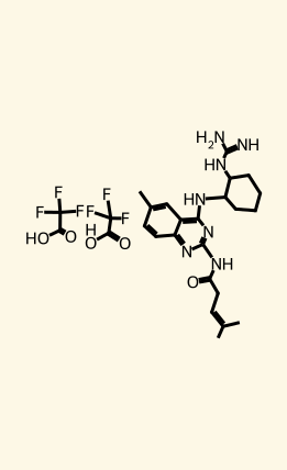 CC(C)=CCC(=O)Nc1nc(NC2CCCCC2NC(=N)N)c2cc(C)ccc2n1.O=C(O)C(F)(F)F.O=C(O)C(F)(F)F